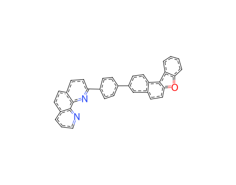 c1cnc2c(c1)ccc1ccc(-c3ccc(-c4ccc5c(ccc6oc7ccccc7c65)c4)cc3)nc12